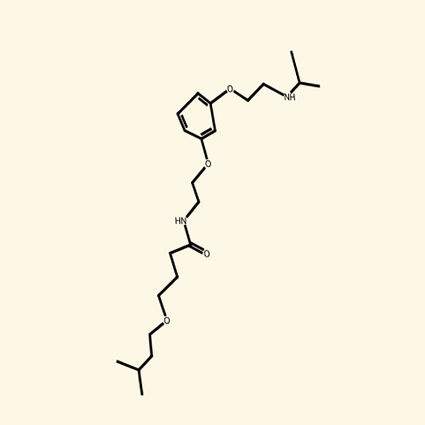 CC(C)CCOCCCC(=O)NCCOc1cccc(OCCNC(C)C)c1